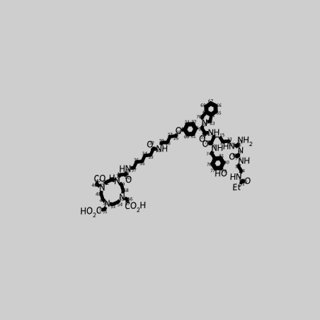 CCC(=O)NCCNC(=O)/N=C(/N)NCCC[C@@H](NC(=O)[C@H](c1ccc(OCCCCNC(=O)CCCCCNC(=O)CN2CCN(CC(=O)O)CCN(CC(=O)O)CCN(CC(=O)O)CC2)cc1)N1Cc2ccccc2C1)C(=O)NCc1ccc(O)cc1